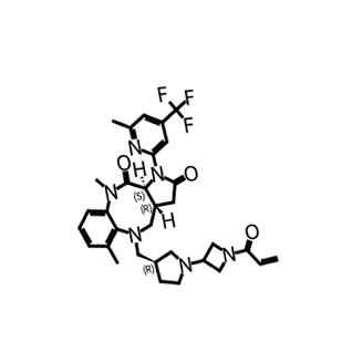 C=CC(=O)N1CC(N2CC[C@@H](CN3C[C@H]4CC(=O)N(c5cc(C(F)(F)F)cc(C)n5)[C@@H]4C(=O)N(C)c4cccc(C)c43)C2)C1